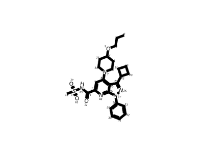 CCCOC1CCN(c2cc(C(=O)NS(C)(=O)=O)nc3c2c(C2CCC2)nn3-c2ccccc2)CC1